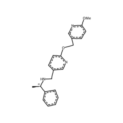 COc1ccc(COc2ccc(CN[C@H](C)c3ccccc3)cn2)cn1